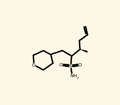 C=CC[C@@H](C)C(CC1CCOCC1)S(N)(=O)=O